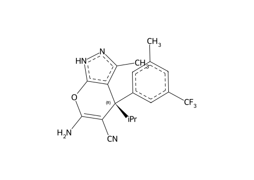 Cc1cc(C(F)(F)F)cc([C@]2(C(C)C)C(C#N)=C(N)Oc3[nH]nc(C)c32)c1